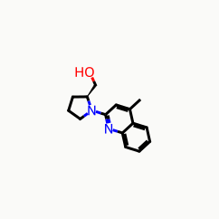 Cc1cc(N2CCC[C@H]2CO)nc2ccccc12